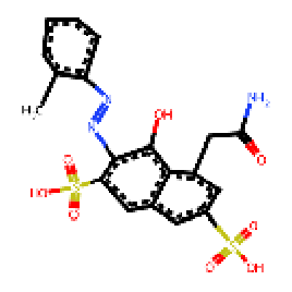 Cc1ccccc1N=Nc1c(S(=O)(=O)O)cc2cc(S(=O)(=O)O)cc(CC(N)=O)c2c1O